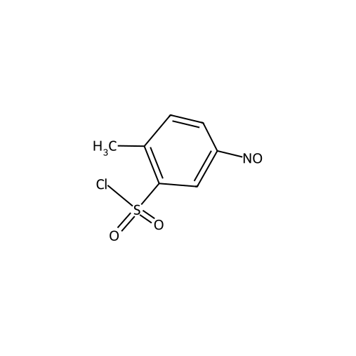 Cc1ccc(N=O)cc1S(=O)(=O)Cl